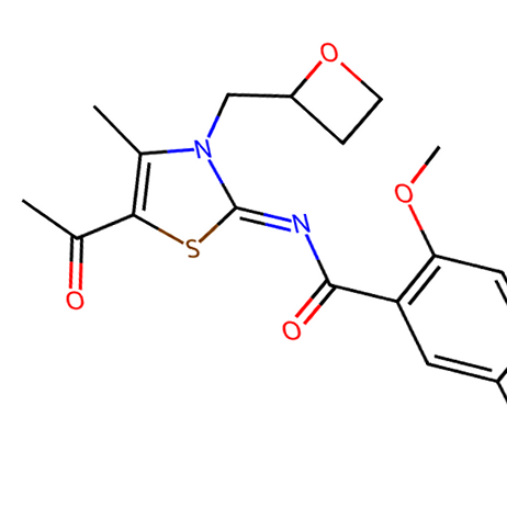 COc1ccc(Cl)cc1C(=O)/N=c1\sc(C(C)=O)c(C)n1CC1CCO1